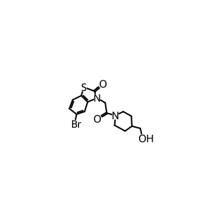 O=C(Cn1c(=O)sc2ccc(Br)cc21)N1CCC(CO)CC1